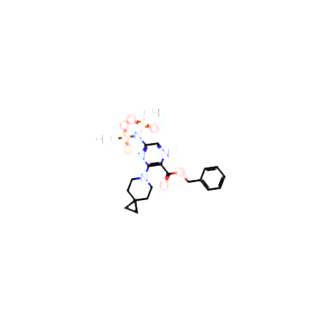 CS(=O)(=O)N(c1cnc(C(=O)OCc2ccccc2)c(N2CCC3(CC2)CC3)n1)S(C)(=O)=O